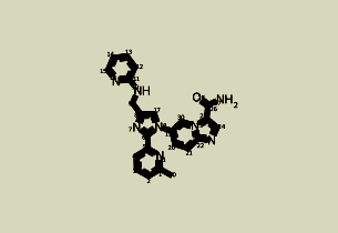 Cc1cccc(-c2nc(CNc3ccccn3)cn2-c2ccc3ncc(C(N)=O)n3c2)n1